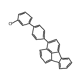 Clc1cccc(-c2ccc(-c3ccc4c5c(cccc35)-c3ccccc3-4)cc2)c1